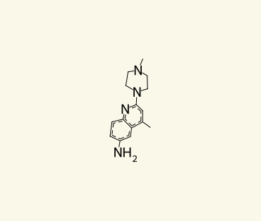 Cc1cc(N2CCN(C)CC2)nc2ccc(N)cc12